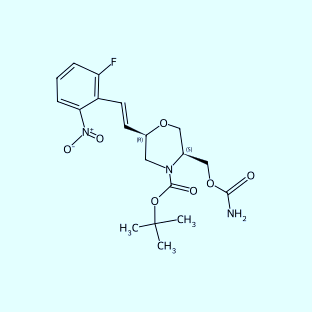 CC(C)(C)OC(=O)N1C[C@@H](C=Cc2c(F)cccc2[N+](=O)[O-])OC[C@H]1COC(N)=O